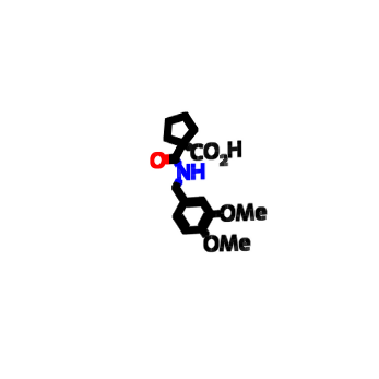 COc1ccc(CNC(=O)C2(C(=O)O)CCCC2)cc1OC